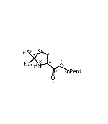 CCCCCOC(=O)C1CSC(S)(CC)N1